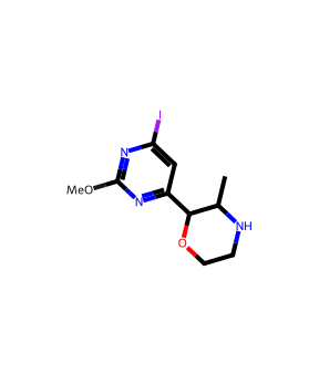 COc1nc(I)cc(C2OCCNC2C)n1